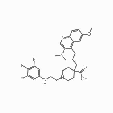 COc1ccc2ncc(N(C)C)c(CCCC3(C(=O)O)CCN(CCNc4cc(F)c(F)c(F)c4)CC3)c2c1